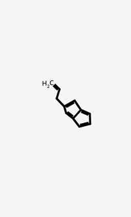 C=CCC1=CC2=CC=CC2=C1